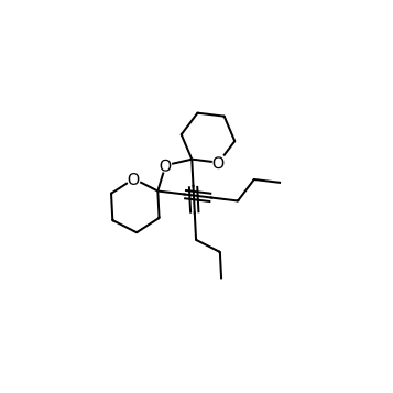 CCCC#CC1(OC2(C#CCCC)CCCCO2)CCCCO1